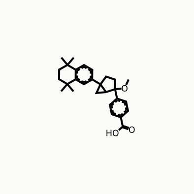 COC1(c2ccc(C(=O)O)cc2)CCC2(c3ccc4c(c3)C(C)(C)CCC4(C)C)CC21